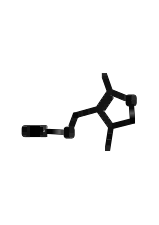 CC1=C(COC=O)C(C)CO1